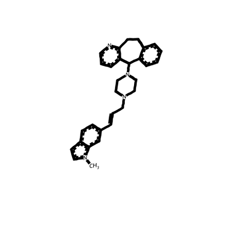 Cn1ccc2ccc(/C=C/CN3CCN(C4c5ccccc5CCc5ncccc54)CC3)cc21